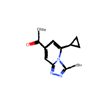 COC(=O)c1cc(C2CC2)n2c(C(C)(C)C)nnc2c1